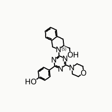 OC[C@@H]1Cc2ccccc2CN1c1nc(-c2ccc(O)cc2)nc(N2CCOCC2)n1